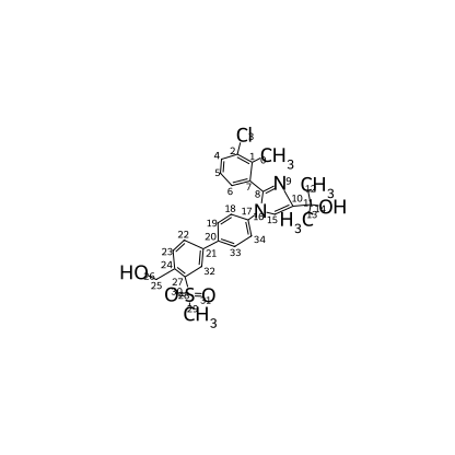 Cc1c(Cl)cccc1-c1nc(C(C)(C)O)cn1-c1ccc(-c2ccc(CO)c(S(C)(=O)=O)c2)cc1